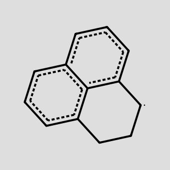 [CH]1CCc2cccc3cccc1c23